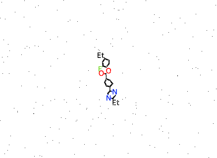 CCc1ccc(OC(=O)c2ccc(-c3cnc(CC)cn3)cc2)c(F)c1